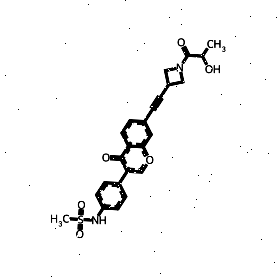 CC(O)C(=O)N1CC(C#Cc2ccc3c(=O)c(-c4ccc(NS(C)(=O)=O)cc4)coc3c2)C1